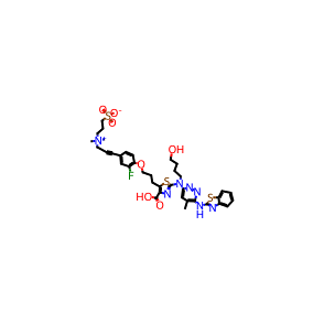 Cc1cc(N(CCCCO)c2nc(C(=O)O)c(CCCOc3ccc(C#CC[N+](C)(C)CCCS(=O)(=O)[O-])cc3F)s2)nnc1Nc1nc2ccccc2s1